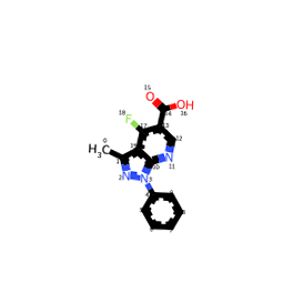 Cc1nn(-c2ccccc2)c2ncc(C(=O)O)c(F)c12